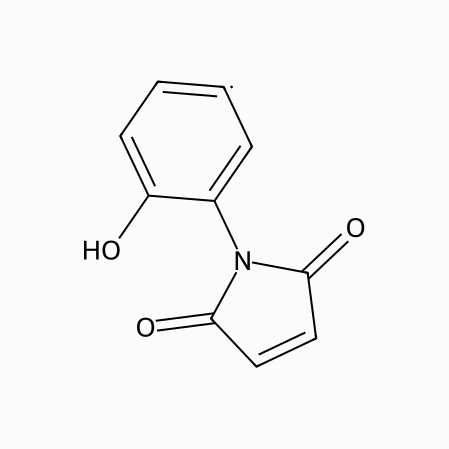 O=C1C=CC(=O)N1c1c[c]ccc1O